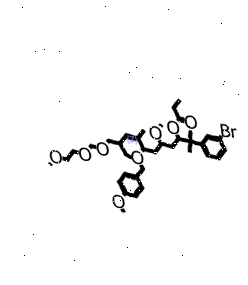 CCC(=O)OC(CC(CC(OCc1ccc(OC)cc1)/C(C)=C\C(CC)COCOCCOC)OC)C(C)(C)c1cccc(Br)c1